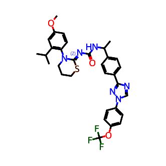 COc1ccc(N2CCCS/C2=N\C(=O)NC(C)c2ccc(-c3ncn(-c4ccc(OC(F)(F)F)cc4)n3)cc2)c(C(C)C)c1